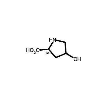 O=C(O)[C@@H]1C[C](O)CN1